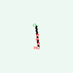 OCCOCCOCCOCCCCCCCl